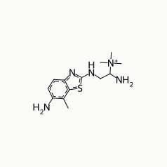 Cc1c(N)ccc2nc(NCC(N)[N+](C)(C)C)sc12